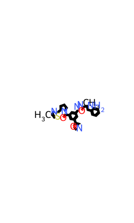 Cc1csc(C2CCCN2C(=O)c2cc(-c3cnco3)cc(-c3nnc(C(C)(N)Cc4ccccc4)o3)c2)n1